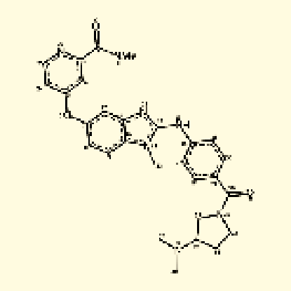 CNC(=O)c1cc(Oc2ccc3c(c2)nc(Nc2ccc(C(=O)N4CCC(N(C)C)C4)cc2)n3C)ccn1